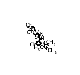 Cc1cc(Cl)cc(-c2ncnc3cc(Cn4c(=O)ccn(CC(F)(F)F)c4=O)sc23)c1O[C@@H]1CCN(C)C[C@@H]1C